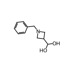 OC(O)C1CN(Cc2ccccc2)C1